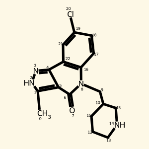 Cc1[nH]nc2c1c(=O)n(CC1CCCNC1)c1ccc(Cl)cc21